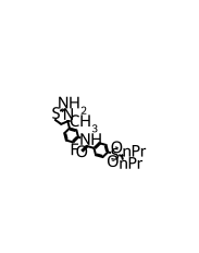 CCCC(CCC)S(=O)(=O)c1ccc(C(=O)Nc2cc(C3(C)CCSC(N)=N3)ccc2F)cc1